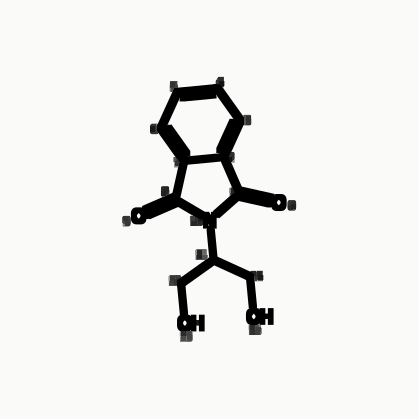 O=C1c2ccccc2C(=O)N1C(CO)CO